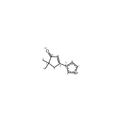 CC1(C)CC(n2ccnc2)=CC1=O